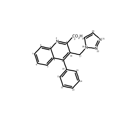 O=C(O)c1nc2ccccc2c(-c2ccccc2)c1Cn1ccnn1